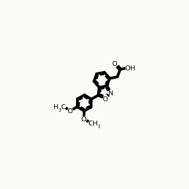 COc1ccc(-c2onc3c(CC(=O)O)cccc23)cc1OC